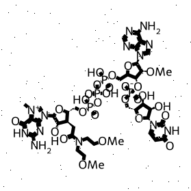 COCCN(CCOC)C(=O)C[C@@H]1[C@@H](COP(=O)(O)OP(=O)(O)OP(=O)(O)OCC2O[C@@H](n3cnc4c(N)ncnc43)[C@H](OC)[C@@H]2OP(=O)([O-])OC[C@H]2O[C@@H](n3ccc(=O)[nH]c3=O)[C@H](O)[C@@H]2O)OC(n2c[n+](C)c3c(=O)[nH]c(N)nc32)[C@@H]1O